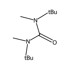 CN(C(=O)N(C)C(C)(C)C)C(C)(C)C